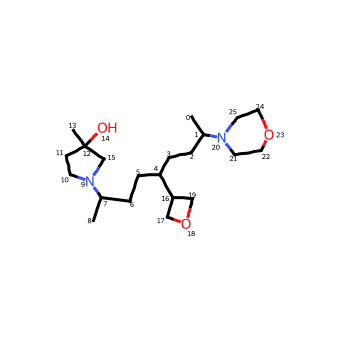 CC(CCC(CCC(C)N1CCC(C)(O)C1)C1COC1)N1CCOCC1